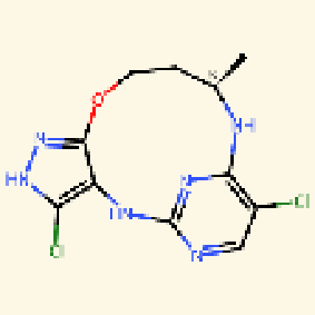 C[C@@H]1CCOc2n[nH]c(Cl)c2Nc2ncc(Cl)c(n2)N1